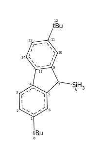 CC(C)(C)c1ccc2c(c1)C([SiH3])c1cc(C(C)(C)C)ccc1-2